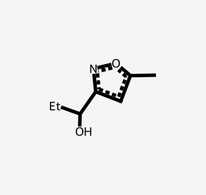 CCC(O)c1cc(C)on1